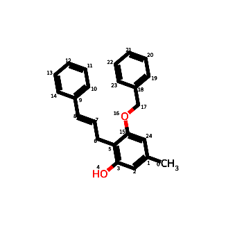 Cc1cc(O)c(C/C=C/c2ccccc2)c(OCc2ccccc2)c1